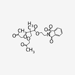 CC(=O)COCC(C)(COCC(C)=O)C(=O)OCCN1C(=O)c2ccccc2S1(=O)=O